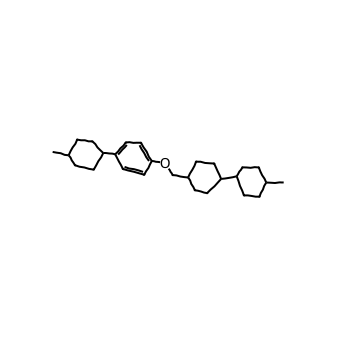 CC1CCC(c2ccc(OCC3CCC(C4CCC(C)CC4)CC3)cc2)CC1